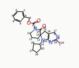 O=C(OCc1ccccc1)N1CCCC2(Cc3cnc(I)nc3N2C2CCCC2)C1=O